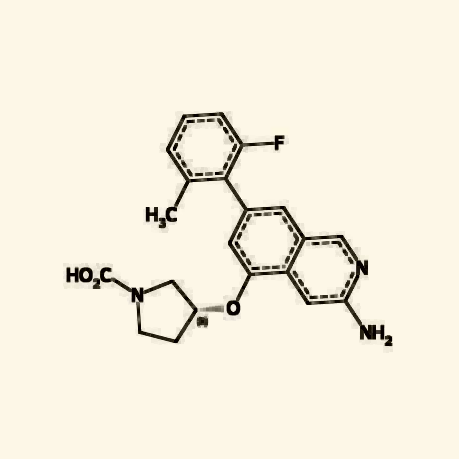 Cc1cccc(F)c1-c1cc(O[C@@H]2CCN(C(=O)O)C2)c2cc(N)ncc2c1